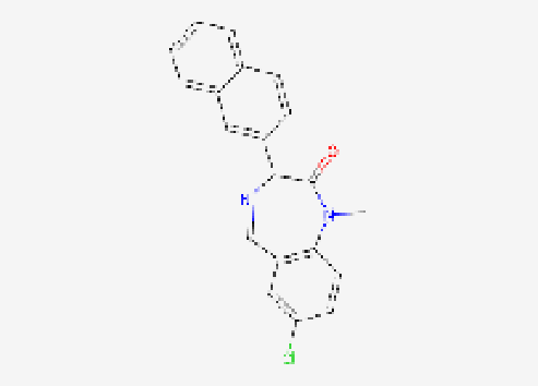 CN1C(=O)C(c2ccc3ccccc3c2)N=Cc2cc(Cl)ccc21